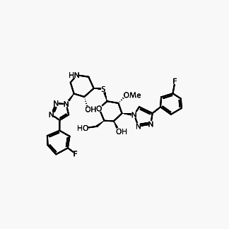 CO[C@@H]1[C@@H](n2cc(-c3cccc(F)c3)nn2)[C@@H](O)[C@@H](CO)O[C@H]1S[C@@H]1CNC[C@H](n2cc(-c3cccc(F)c3)nn2)[C@H]1O